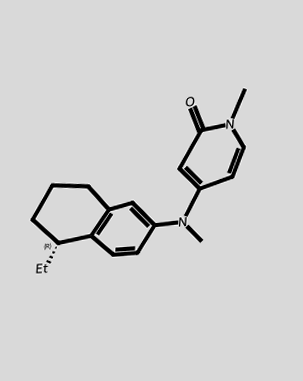 CC[C@@H]1CCCc2cc(N(C)c3ccn(C)c(=O)c3)ccc21